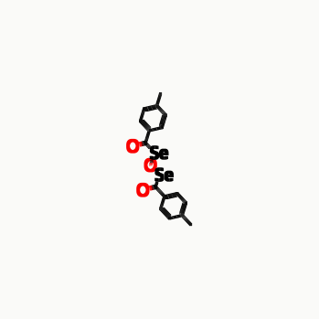 Cc1ccc(C(=O)[Se]O[Se]C(=O)c2ccc(C)cc2)cc1